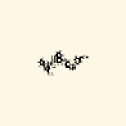 Cn1cc(-n2nc(C(C)(C)C)cc2NC(=O)N[C@H]2CC[C@@H](Oc3ccc4nnc(N5CCC(CO)CC5)n4c3)c3ccccc32)cn1